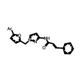 CC(=O)c1ccc(Cn2ccc(NC(=O)C=Cc3ccccc3)n2)o1